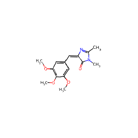 COc1cc(C=C2N=C(C)N(C)C2=O)cc(OC)c1OC